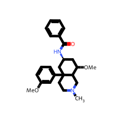 COc1cccc(C23CCN(C)CC2C(OC)C[C@H](NC(=O)c2ccccc2)C3)c1